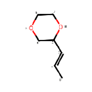 CC=CC1COCCO1